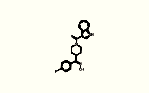 O=C(c1c[nH]c2ccccc12)N1CCC(C(=NO)c2ccc(F)cc2)CC1